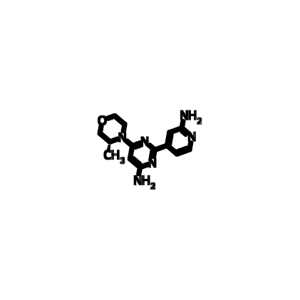 C[C@@H]1COCCN1c1cc(N)nc(-c2ccnc(N)c2)n1